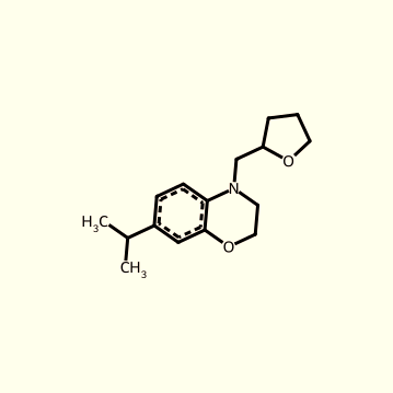 CC(C)c1ccc2c(c1)OCCN2CC1CCCO1